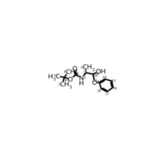 C[C@H](NC(=O)OC(C)(C)C)C(O)Oc1ccccc1